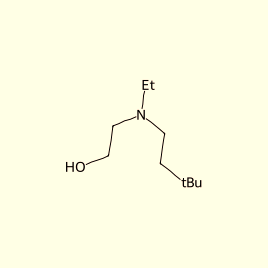 CCN(CCO)CCC(C)(C)C